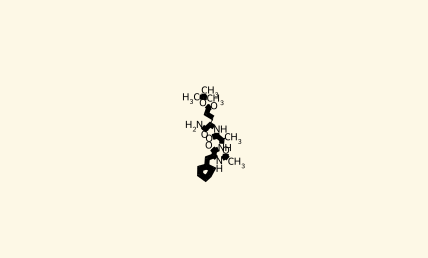 CC(=O)NC(Cc1ccccc1)C(=O)N[C@@H](C)C(=O)N[C@@H](CCC(=O)OC(C)(C)C)C(N)=O